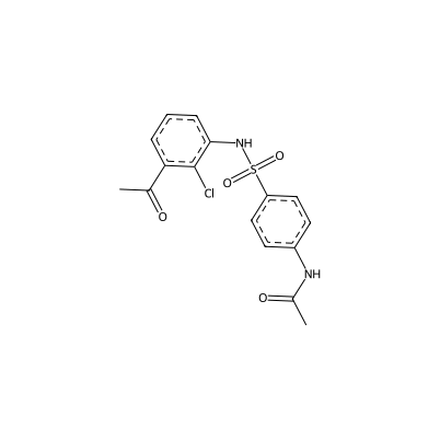 CC(=O)Nc1ccc(S(=O)(=O)Nc2cccc(C(C)=O)c2Cl)cc1